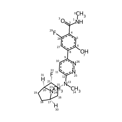 CNC(=O)c1cc(O)c(-c2ccc(N(C)[C@@H]3C[C@H]4CC[C@@H]([C@@H]3F)N4C)nn2)cc1F